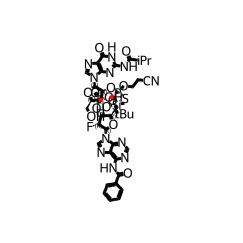 CC(C)C(=O)Nc1nc2c(ncn2[C@@H]2O[C@H](CO)[C@@H](O[Si](C)(C)C(C)(C)C)[C@H]2OP(=S)(OCCC#N)OC[C@H]2O[C@@H](n3cnc4c(NC(=O)c5ccccc5)ncnc43)[C@H](F)[C@@H]2O[PH](=O)O)c(=O)[nH]1